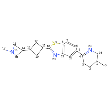 CC1CCC(c2ccc3sc(C4CC(C5CN(C)C5)C4)nc3c2)=NC1